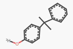 [2H]Oc1ccc(C(C)(C)c2ccccc2)cc1